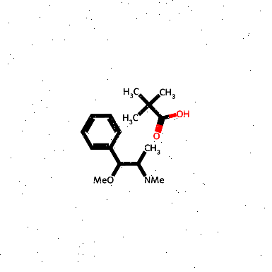 CC(C)(C)C(=O)O.CNC(C)C(OC)c1ccccc1